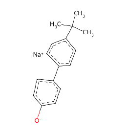 CC(C)(C)c1ccc(-c2ccc([O-])cc2)cc1.[Na+]